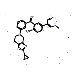 CN/C=C(\C=N)c1ccc(N)c(C(=N)c2ccnc(N3CCc4oc(C5CC5)nc4C3)c2)c1